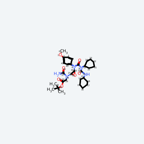 COc1ccc(N(C(=O)N(C(=O)NC2CCCCC2)C2CCCCC2)[C@H]2O[C@H]2N(CC(=O)OC(C)(C)C)C(N)=O)cc1